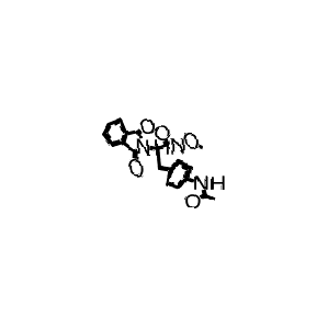 CONC(=O)C(Cc1ccc(NC(C)=O)cc1)N1C(=O)c2ccccc2C1=O